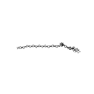 CC(C)(C)OC(=O)N1CCN(CCOCc2cn(CCOCCOCCOCCOCCOCCOCCOCCOCCOCCOCCOCCO)nn2)CC1